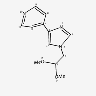 COC(Cn1cnc(-c2ccncc2)c1)OC